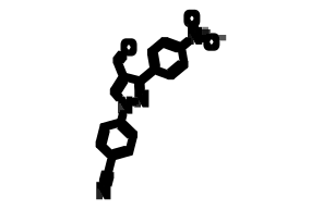 N#Cc1ccc(-n2cc(C=O)c(-c3ccc([N+](=O)[O-])cc3)n2)cc1